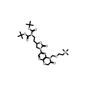 CC(C)(C)OC(=O)N(CCC1CN(c2cnc3c(n2)N(COCC[Si](C)(C)C)C(=O)CO3)C(=O)O1)C(=O)OC(C)(C)C